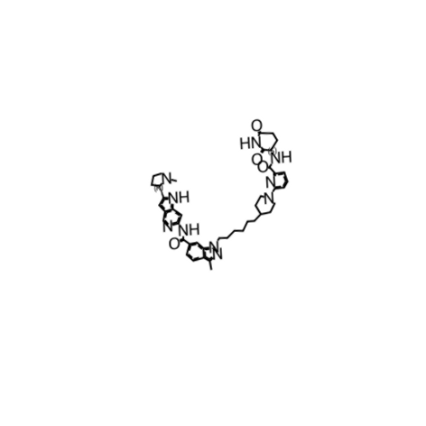 Cc1nn(CCCCCCC2CCN(c3cccc(C(=O)N[C@H]4CCC(=O)NC4=O)n3)CC2)c2cc(C(=O)Nc3cc4[nH]c([C@H]5CCCN5C)cc4cn3)ccc12